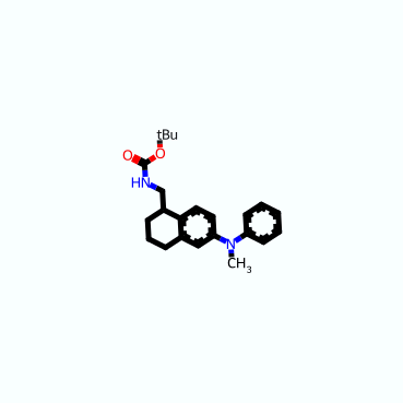 CN(c1ccccc1)c1ccc2c(c1)CCCC2CNC(=O)OC(C)(C)C